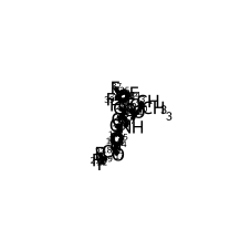 CC(C)(C)OC(=O)C[C@H](NC(=O)C1CCN(C(=O)OCC(F)(F)F)CC1)C(=O)COc1c(F)c(F)cc(F)c1F